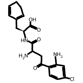 Nc1cc(Cl)ccc1C(=O)CC(N)C(=O)N[C@@H](CC1=CCCC=C1)C(=O)O